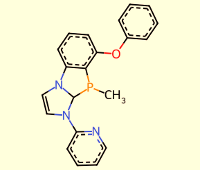 CP1c2c(Oc3ccccc3)cccc2N2C=CN(c3ccccn3)C21